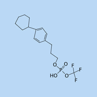 O=P(O)(OCCCc1ccc(C2CCCCC2)cc1)OC(F)(F)F